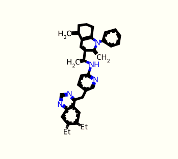 C=C1CCCC2=C1C=C(C(=C)Nc1ccc(Cc3ncnc4cc(CC)c(CC)cc34)cn1)C(=C)N2c1ccccc1